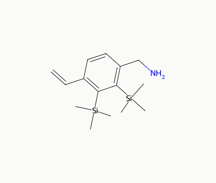 C=Cc1ccc(CN)c([Si](C)(C)C)c1[Si](C)(C)C